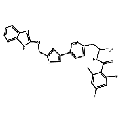 CCc1cc(F)cc(C)c1C(=O)NC(Cc1ccc(-c2coc(CNc3nc4ccccc4[nH]3)c2)cc1)C(=O)O